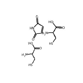 NC(CS)C(=O)O.NC(CS)C(=O)O.O=C1C=CC(=O)N1